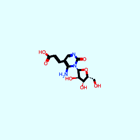 Nc1c(/C=C/C(=O)O)cnc(=O)n1[C@@H]1O[C@H](CO)[C@H](O)[C@H]1O